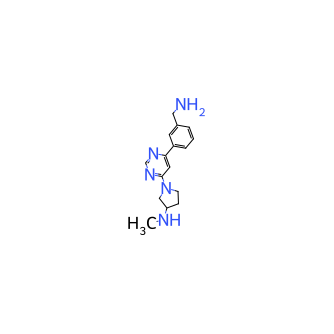 CNC1CCN(c2cc(-c3cccc(CN)c3)ncn2)C1